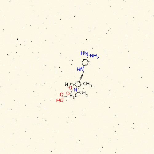 Cc1cc(N(C(=O)COCC(=O)O)C(C)C)c(C)cc1C#CCNc1ccc(C(=N)N)cc1